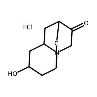 Cl.O=C1CN2C3CC(O)CC2CC1C3